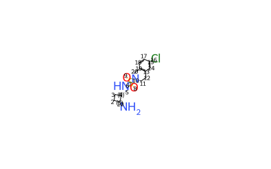 N[C@H]1CC[C@@H]1CNS(=O)(=O)N1CCc2cc(Cl)ccc2C1